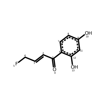 O=C(/C=C/CF)c1ccc(O)cc1O